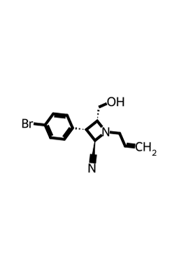 C=CCN1[C@@H](C#N)[C@H](c2ccc(Br)cc2)[C@@H]1CO